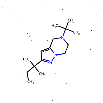 CCC(C)(C)c1cc2n(n1)CCN(C(C)(C)C)C2